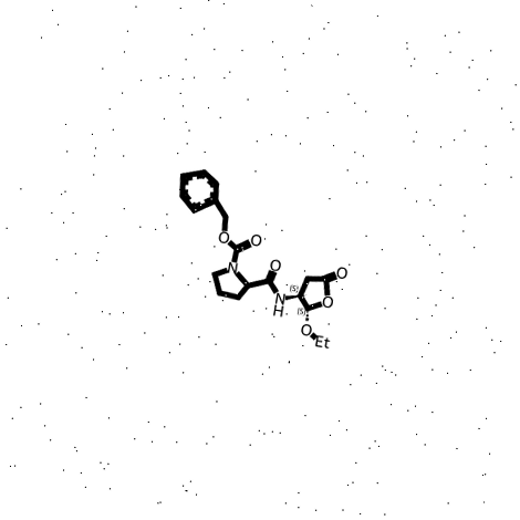 CCO[C@H]1OC(=O)C[C@@H]1NC(=O)C1CCCN1C(=O)OCc1ccccc1